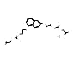 C=C(C)COC(=O)OCCOc1ccc2c(OCCOC(=O)OCC(=C)C)cccc2c1